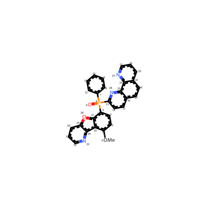 COc1ccc(P(=O)(c2ccccc2)c2ccc3ccc4cccnc4c3n2)c2oc3cccnc3c12